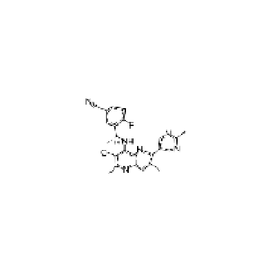 Cc1ncc(-c2nc3c(N[C@H](C)c4cc(C#N)ccc4F)c(Cl)c(C)nc3cc2C)cn1